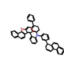 C1=Cc2c(ccc3ccccc23)C(c2cccc(N(C3=CC=C(c4ccccc4)CC3)c3ccccc3-c3cccc4oc5c6ccccc6ccc5c34)c2)C1